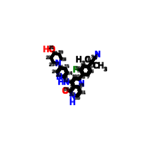 CC(C)(C#N)c1ccc(-c2cc(Nc3ccc(N4CCC(O)CC4)cn3)c3c(=O)[nH]ccc3n2)c(F)c1